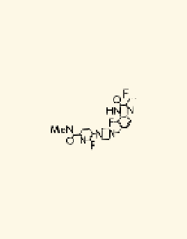 CNC(=O)c1ccc(N2CCN(Cc3ccc4nc([C@@H](C)F)c(=O)[nH]c4c3F)CC2)c(F)n1